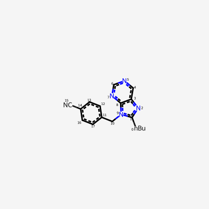 CCCCc1nc2cncnc2n1Cc1ccc(C#N)cc1